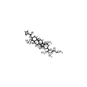 CCNC(=O)O[C@H](C(C)C)C1C[C@@H](C)[C@H]2C(O1)[C@H](O)[C@@]1(C)C3CC[C@H]4C(C)(C)[C@@H](OC(=O)N5CCC5)CCC45C[C@@]35CC[C@]21C